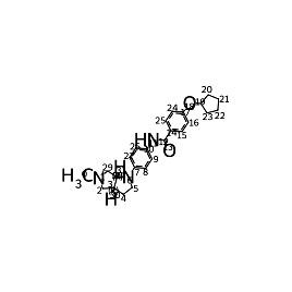 CN1C[C@H]2CCN(c3ccc(NC(=O)c4ccc(OC5CCCC5)cc4)cc3)[C@H]2C1